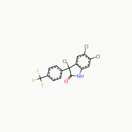 O=C1Nc2cc(Cl)c(Cl)cc2C1(Cl)c1ccc(C(F)(F)F)cc1